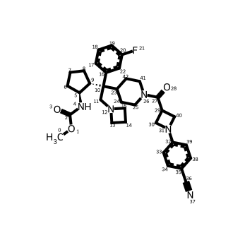 COC(=O)N[C@H]1CCC[C@@H]1C(CN1CCC1)(c1cccc(F)c1)C1CCN(C(=O)C2CN(c3ccc(C#N)cc3)C2)CC1